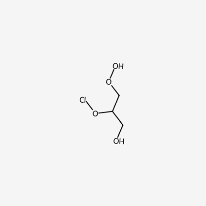 OCC(COO)OCl